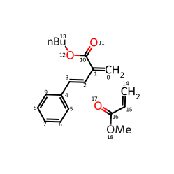 C=C(C=Cc1ccccc1)C(=O)OCCCC.C=CC(=O)OC